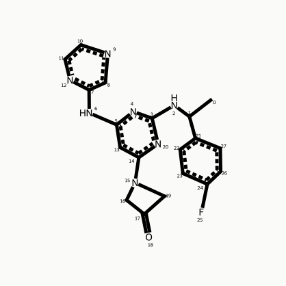 CC(Nc1nc(Nc2cnccn2)cc(N2CC(=O)C2)n1)c1ccc(F)cc1